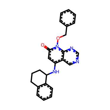 O=c1cc(NC2CCCc3ccccc32)c2cncnc2n1OCc1ccccc1